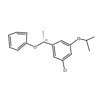 CC(C)Oc1cc(Cl)cc([C@@H](C)Oc2[c]cccc2)c1